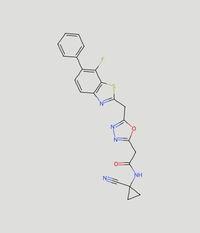 N#CC1(NC(=O)Cc2nnc(Cc3nc4ccc(-c5ccccc5)c(F)c4s3)o2)CC1